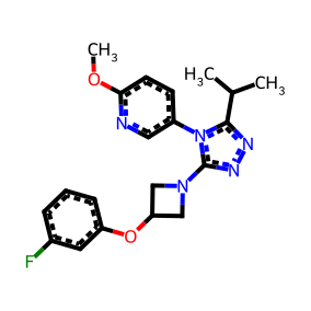 COc1ccc(-n2c(C(C)C)nnc2N2CC(Oc3cccc(F)c3)C2)cn1